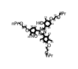 CCCOCCOc1cc(C)c(-c2nc(-c3ccc(OCCOCCC)c(C)c3O)nc(-c3ccc(OCCOCCC)c(C)c3N=O)n2)c(C)c1C